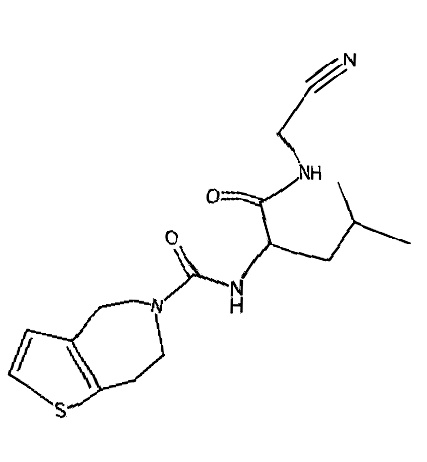 CC(C)CC(NC(=O)N1CCc2sccc2C1)C(=O)NCC#N